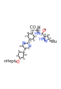 CCCCCCCOc1ccc(-c2cnc(-c3ccc(C[C@H](NC(=O)c4cc(C(C)(C)C)n[nH]4)C(=O)O)cc3)nc2)cc1